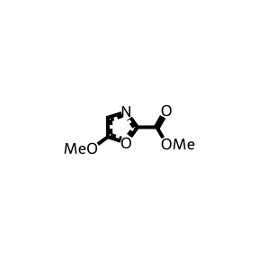 COC(=O)c1ncc(OC)o1